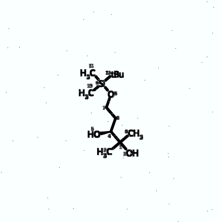 CC(C)(O)[C@@H](O)CCO[Si](C)(C)C(C)(C)C